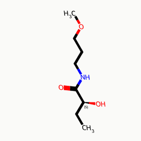 CC[C@H](O)C(=O)NCCCOC